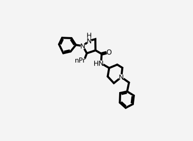 CCCC1C(C(=O)NC2CCN(Cc3ccccc3)CC2)CNN1c1ccccc1